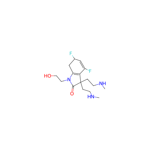 CNCCC1(CCNC)C(=O)N(CCO)C2=C1C(F)=CC(F)C2